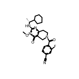 COn1c(N[C@H](C)C2CCCCC2)nc2c(c1=O)CN(C(=O)c1ccc(C#N)cc1F)CC2